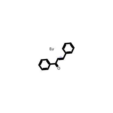 O=C(/C=C/c1ccccc1)c1ccccc1.[Eu]